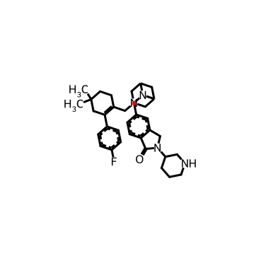 CC1(C)CCC(CN2CC3CC(C2)N3Cc2ccc3c(c2)CN(C2CCCNC2)C3=O)=C(c2ccc(F)cc2)C1